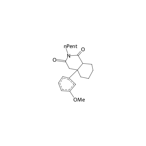 CCCCCN1C(=O)CC2(c3cccc(OC)c3)CCCCC2C1=O